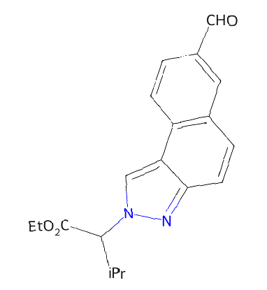 CCOC(=O)C(C(C)C)n1cc2c(ccc3cc(C=O)ccc32)n1